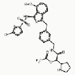 COc1cccc2c1c(NS(=O)(=O)c1ccc(Cl)s1)nn2Cc1cccc(CNC(=O)C(OC(=O)C(F)(F)F)C2CCCN2)c1